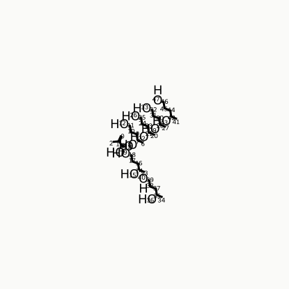 C=C(C)C(=O)O.CC(O)CCCO.CC(O)CCCO.CC(O)CCCO.CC(O)CCCO.CC(O)CCCO.CC(O)CCCO